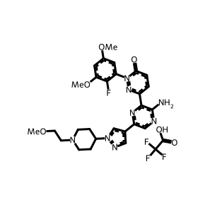 COCCN1CCC(n2cc(-c3cnc(N)c(-c4ccc(=O)n(-c5cc(OC)cc(OC)c5F)n4)n3)cn2)CC1.O=C(O)C(F)(F)F